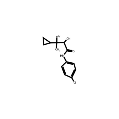 CCCC(C)(C1CC1)C(C#N)C(=O)Nc1ccc(Cl)cc1